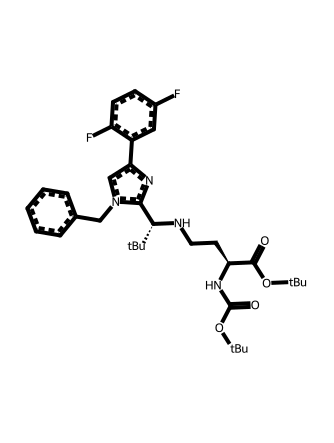 CC(C)(C)OC(=O)N[C@@H](CCN[C@@H](c1nc(-c2cc(F)ccc2F)cn1Cc1ccccc1)C(C)(C)C)C(=O)OC(C)(C)C